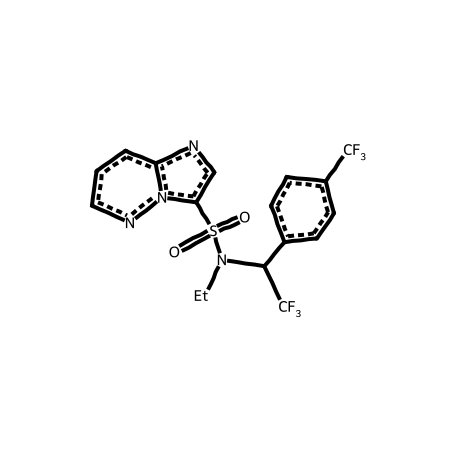 CCN(C(c1ccc(C(F)(F)F)cc1)C(F)(F)F)S(=O)(=O)c1cnc2cccnn12